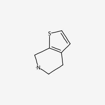 c1cc2c(s1)C[N]CC2